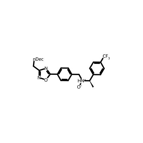 CCCCCCCCCCCc1noc(-c2ccc(C[NH+]([O-])[C@H](C)c3ccc(C(F)(F)F)cc3)cc2)n1